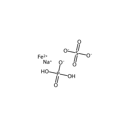 O=P([O-])(O)O.O=S(=O)([O-])[O-].[Fe+2].[Na+]